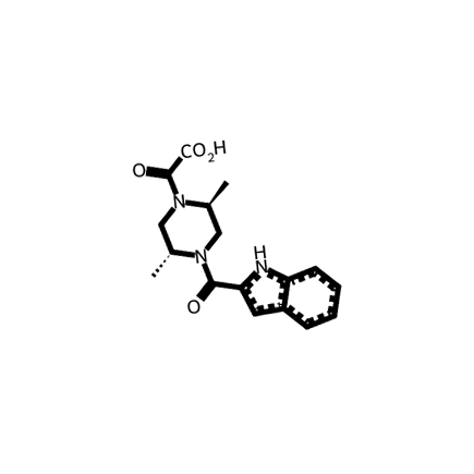 C[C@@H]1CN(C(=O)C(=O)O)[C@@H](C)CN1C(=O)c1cc2ccccc2[nH]1